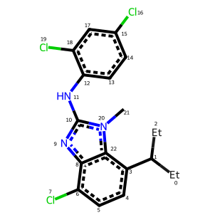 CCC(CC)c1ccc(Cl)c2nc(Nc3ccc(Cl)cc3Cl)n(C)c12